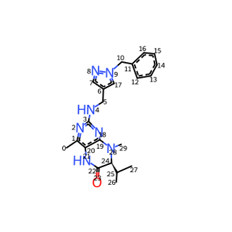 Cc1nc(NCc2cnn(Cc3ccccc3)c2)nc2c1NC(=O)[C@H](C(C)C)N2C